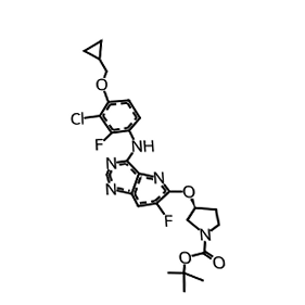 CC(C)(C)OC(=O)N1CC[C@H](Oc2nc3c(Nc4ccc(OCC5CC5)c(Cl)c4F)ncnc3cc2F)C1